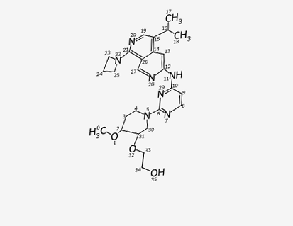 COC1CCN(c2nccc(Nc3cc4c(C(C)C)cnc(N5CCC5)c4cn3)n2)CC1OCCO